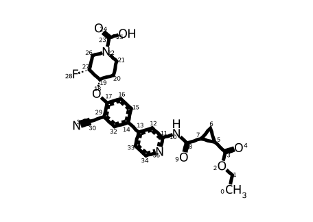 CCOC(=O)C1CC1C(=O)Nc1cc(-c2ccc(O[C@H]3CCN(C(=O)O)C[C@H]3F)c(C#N)c2)ccn1